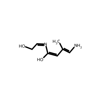 CC(=C\N)/C=C(O)\N=C/CO